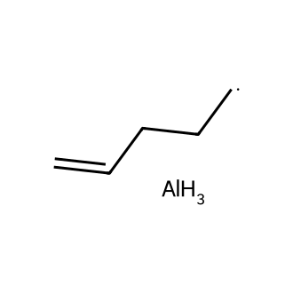 [AlH3].[CH2]CCC=C